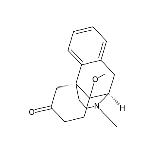 COC12CCC(=O)C[C@@]13CCN(C)[C@@H]2Cc1ccccc13